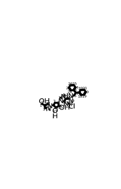 OCc1cnn([C@H]2C[C@@H](n3cnc4c(NCC(c5ccccc5)c5ccccc5)nc(Cl)nc43)[C@H](O)[C@@H]2O)c1